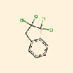 ClC1(Cl)Cc2ccccc2C1(Cl)Cl